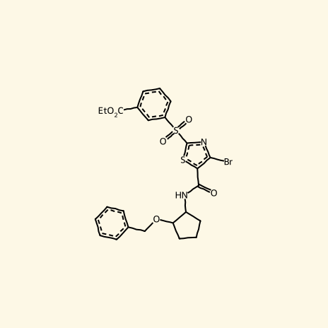 CCOC(=O)c1cccc(S(=O)(=O)c2nc(Br)c(C(=O)NC3CCCC3OCc3ccccc3)s2)c1